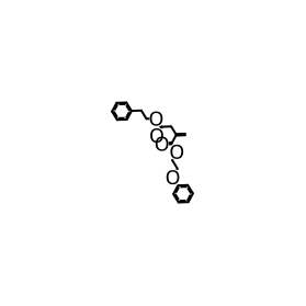 C=C(CC(=O)OCCc1ccccc1)C(=O)OCCOc1ccccc1